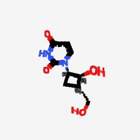 O=c1ccn([C@H]2C[C@@H](CO)[C@@H]2O)c(=O)[nH]1